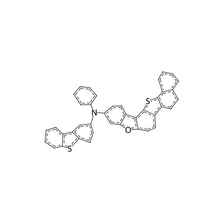 c1ccc(N(c2ccc3c(c2)oc2ccc4c5ccc6ccccc6c5sc4c23)c2ccc3sc4ccccc4c3c2)cc1